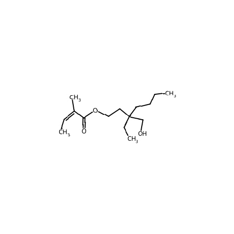 CC=C(C)C(=O)OCCC(CC)(CO)CCCC